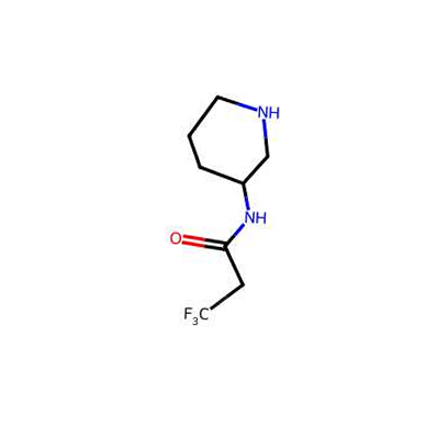 O=C(CC(F)(F)F)NC1CCCNC1